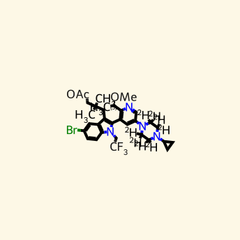 [2H]C1([2H])N(c2cnc([C@H](C)OC)c(-c3c(CC(C)(C)COC(C)=O)c4cc(Br)ccc4n3CC(F)(F)F)c2)C([2H])([2H])C([2H])([2H])N(C2CC2)C1([2H])[2H]